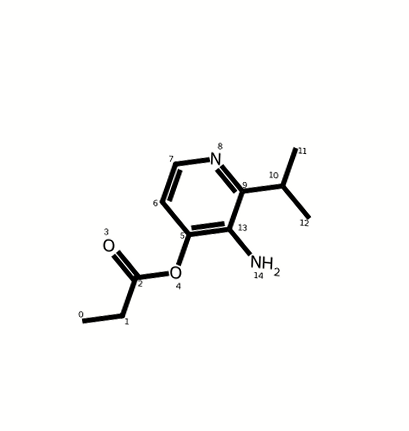 CCC(=O)Oc1ccnc(C(C)C)c1N